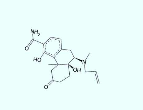 C=CCN(C)[C@@H]1Cc2ccc(C(N)=O)c(O)c2C2(C)CC(=O)CC[C@@]12O